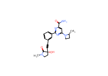 C[C@H]1CCN1c1cc(C(N)=O)nc(-c2cccc(C#C[C@]3(O)CCN(C)C3=O)c2)n1